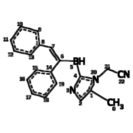 Cc1cnc(BC(=Cc2ccccc2)c2ccccc2)n1CC#N